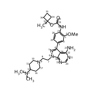 COc1cc(-c2nn(CCN3CCC(N(C)C)CC3)c3ncnc(N)c23)ccc1NC(=O)OC1(C)CCC1